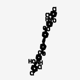 O=C(Oc1ccc(NC(=O)c2ccc(Cl)cc2Cl)cc1)c1ccc(C#Cc2ccc(C(=O)Oc3ccc(NC(O)c4ccc(Cl)cc4Cl)cc3)cc2)cc1